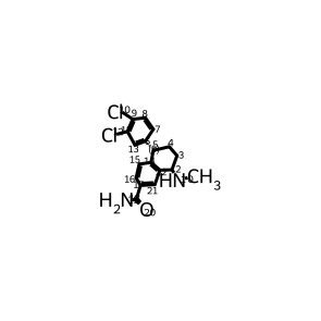 CNC1CC[C@@H](c2ccc(Cl)c(Cl)c2)c2ccc(C(N)=O)cc21